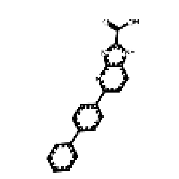 O=C(O)c1nc2nc(-c3ccc(-c4ccccc4)cc3)ccc2[nH]1